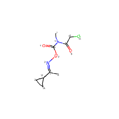 CC(=NOC(=O)N(C)C(=O)CCl)C1CC1